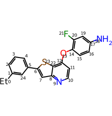 CCc1cccc(-c2cc3nccc(Oc4ccc(N)cc4F)c3s2)c1